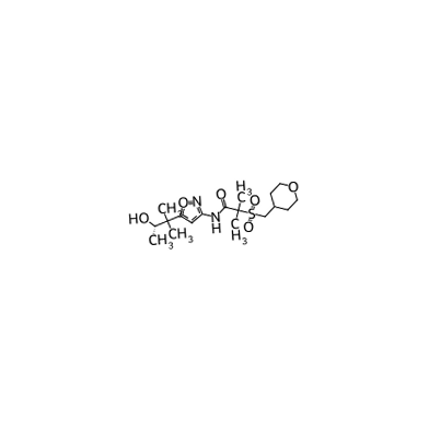 C[C@H](O)C(C)(C)c1cc(NC(=O)C(C)(C)S(=O)(=O)CC2CCOCC2)no1